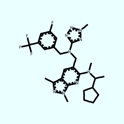 Cc1nn(C)c2nc(N(C)C(C)C3CCCC3)c(CN(Cc3cc(F)cc(C(F)(F)F)c3)c3nnn(C)n3)cc12